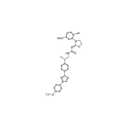 COc1ccc(C(C)C)c(N2CCS/C2=N\C(=O)NCC(F)c2ccc(-c3ncn(-c4ccc(OC(F)(F)F)cc4)n3)cc2)c1